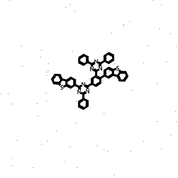 c1ccc(-c2nc(-c3ccc(-c4ccc5sc6ccccc6c5c4)c(-c4nc(-c5ccccc5)nc(-c5ccccc5)n4)c3)nc(-c3ccc4c(c3)sc3ccccc34)n2)cc1